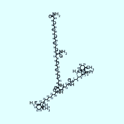 CCCC(CCCCCCCC(=O)NCCCCC(NC(=O)CCCCCCCCC1=C(C)CCCC1(C)C)C(=O)NCCCOCCOCCOCCCC(COCCOCCOCCOCCOCCC(N)=O)C(N)=O)C1=C(C)CCCC1(C)C